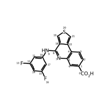 O=C(O)c1ccc2c(c1)nc(Nc1cc(F)cc(F)c1)c1cscc12